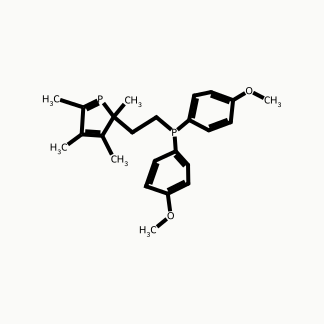 COc1ccc(P(CCC2(C)P=C(C)C(C)=C2C)c2ccc(OC)cc2)cc1